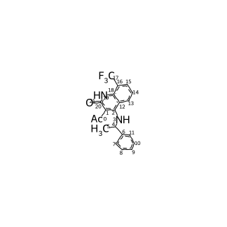 CC(=O)c1c(NC(C)c2ccccc2)c2cccc(C(F)(F)F)c2[nH]c1=O